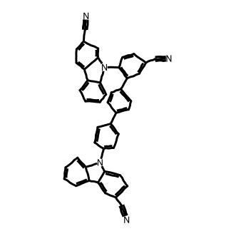 N#Cc1ccc(-n2c3ccccc3c3ccc(C#N)cc32)c(-c2ccc(-c3ccc(-n4c5ccccc5c5cc(C#N)ccc54)cc3)cc2)c1